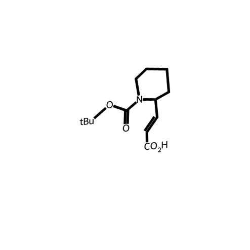 CC(C)(C)OC(=O)N1CCCCC1/C=C/C(=O)O